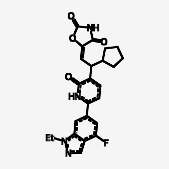 CCn1ncc2c(F)cc(-c3ccc(C(/C=C4/OC(=O)NC4=O)C4CCCC4)c(=O)[nH]3)cc21